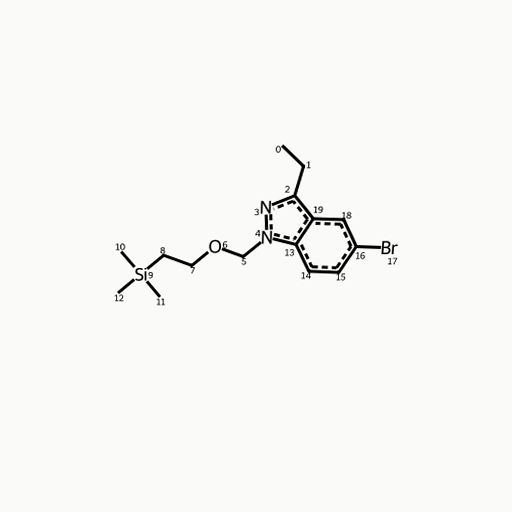 CCc1nn(COCC[Si](C)(C)C)c2ccc(Br)cc12